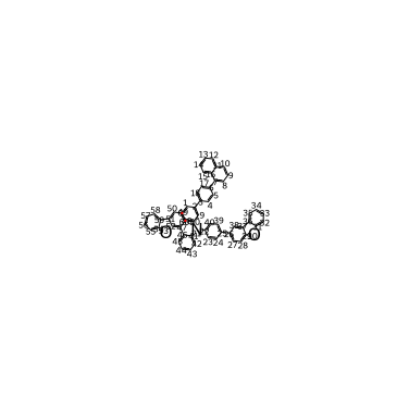 c1cc(-c2ccc(-c3cccc4ccccc34)cc2)cc(N(c2ccc(-c3ccc4oc5ccccc5c4c3)cc2)c2ccccc2-c2cccc3c2oc2ccccc23)c1